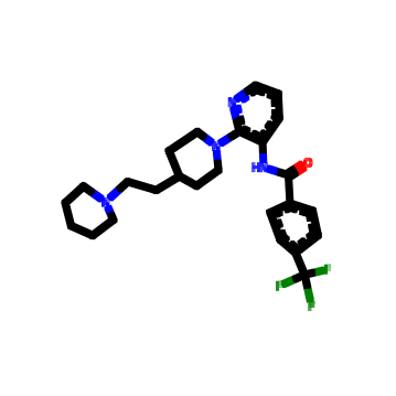 O=C(Nc1cccnc1N1CCC(CCN2CCCCC2)CC1)c1ccc(C(F)(F)F)cc1